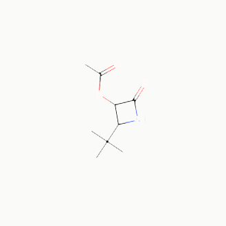 CC(=O)OC1C(=O)NC1C(C)(C)C